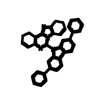 C1=Cc2c(nc3c4c(nc(-n5c6cc(-c7ccccc7)ccc6c6ccc(-c7ccccc7)cc65)n23)C=CCC4)CC1